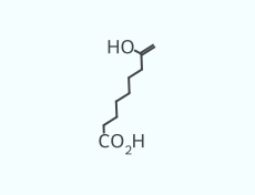 C=C(O)CCCCCCC(=O)O